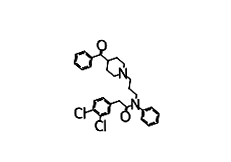 O=C(c1ccccc1)C1CCN(CCCN(C(=O)Cc2ccc(Cl)c(Cl)c2)c2ccccc2)CC1